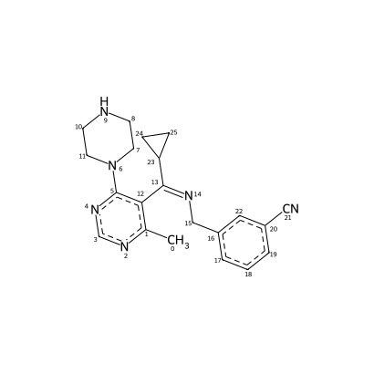 Cc1ncnc(N2CCNCC2)c1/C(=N\Cc1cccc(C#N)c1)C1CC1